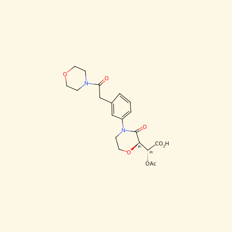 CC(=O)O[C@@H](C(=O)O)[C@H]1OCCN(c2cccc(CC(=O)N3CCOCC3)c2)C1=O